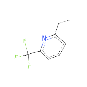 [CH2]Cc1cccc(C(F)(F)F)n1